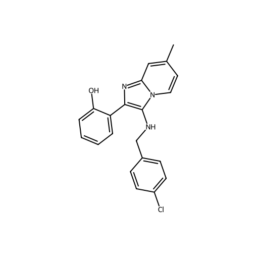 Cc1ccn2c(NCc3ccc(Cl)cc3)c(-c3ccccc3O)nc2c1